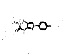 CC(C)(C)OC(=O)Nc1nn(-c2ccc(F)cc2)cc1[N+](=O)[O-]